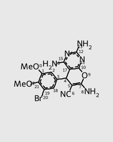 COc1cc(C2C(C#N)=C(N)Oc3nc(N)nc(N)c32)cc(Br)c1OC